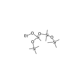 CCO[Si](C)(O[Si](C)(C)C)O[Si](C)(C)O[Si](C)(C)C